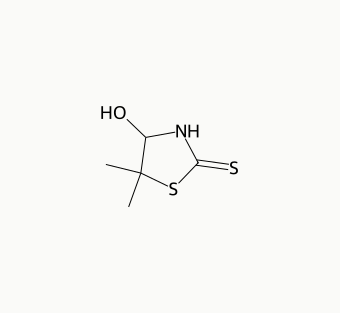 CC1(C)SC(=S)NC1O